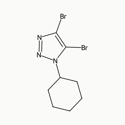 Brc1nnn(C2CCCCC2)c1Br